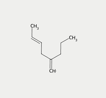 [CH]=C(CC=CC)CCC